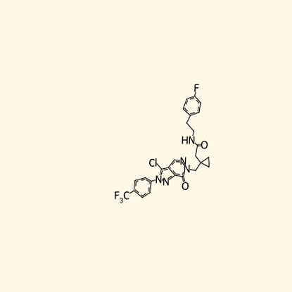 O=C(CC1(Cn2ncc3c(Cl)n(-c4ccc(C(F)(F)F)cc4)nc3c2=O)CC1)NCCc1ccc(F)cc1